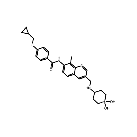 Cc1c(NC(=O)c2ccc(OCC3CC3)cc2)ccc2cc(CNC3CCS(O)(O)CC3)cnc12